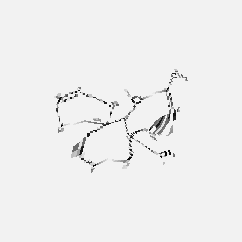 CC(=O)OC1C(C)(C)CCCC12CC=CC2